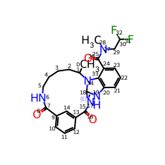 CC1CCCCNC(=O)c2cccc(c2)C(=O)/N=C2\Nc3cccc(C(=O)N(C)CC(F)F)c3N21